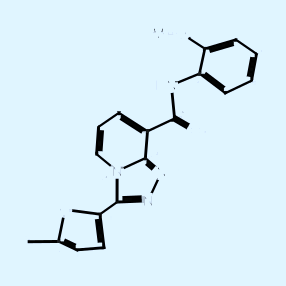 COc1ccccc1NC(=O)c1cccn2c(-c3ccc(C)o3)nnc12